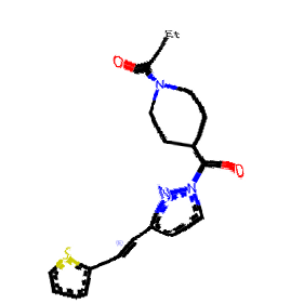 CCC(=O)N1CCC(C(=O)n2ccc(/C=C/c3cccs3)n2)CC1